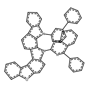 c1ccc(-c2cccc(-n3c4ccccc4c4ccc5c6c7c(ccc6n(-c6nc(-c8ccccc8)c8ccccc8n6)c5c43)oc3ccccc37)c2)cc1